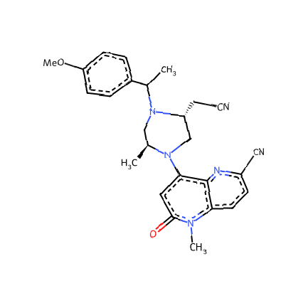 COc1ccc(C(C)N2C[C@H](C)N(c3cc(=O)n(C)c4ccc(C#N)nc34)C[C@H]2CC#N)cc1